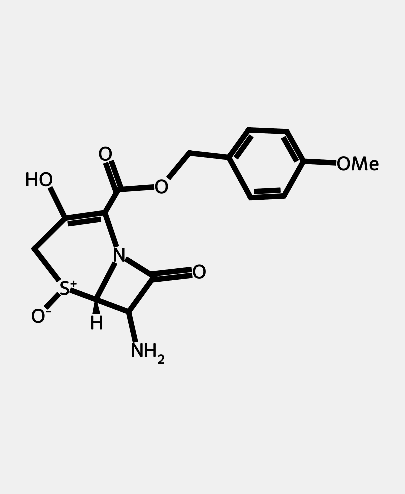 COc1ccc(COC(=O)C2=C(O)C[S+]([O-])[C@H]3C(N)C(=O)N23)cc1